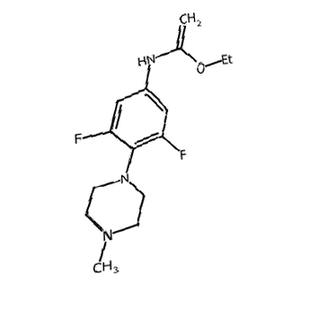 C=C(Nc1cc(F)c(N2CCN(C)CC2)c(F)c1)OCC